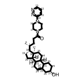 C[C@H](CCC(=O)N1CCN(c2cccnn2)CC1)[C@H]1CC[C@H]2[C@@H]3CC=C4C[C@@H](O)CC[C@]4(C)[C@H]3CC[C@]12C